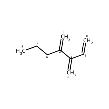 C=CC(=C)C(=C)CCC